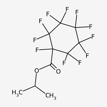 CC(C)OC(=O)C1(F)C(F)(F)C(F)(F)C(F)(F)C(F)(F)C1(F)F